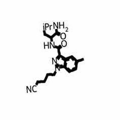 Cc1ccc2c(c1)c(C(=O)NC(CC(C)C)C(N)=O)nn2CCCCC#N